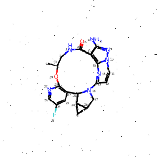 C[C@H]1CNC(=O)c2c(N)nn3ccc(nc23)N2CC3CC3C2c2cc(F)cnc2O1